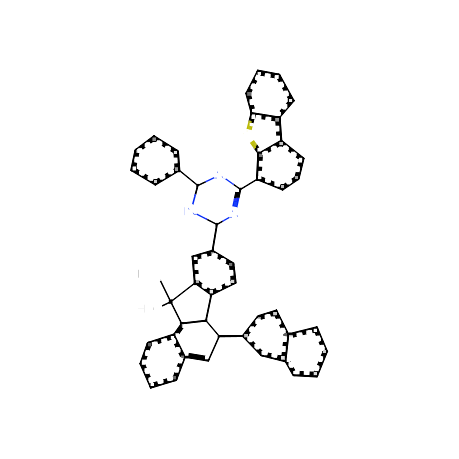 CC1(C)C2=c3ccccc3=CC(c3ccc4ccccc4c3)C2c2ccc(C3N=C(c4cccc5c4sc4ccccc45)NC(c4ccccc4)N3)cc21